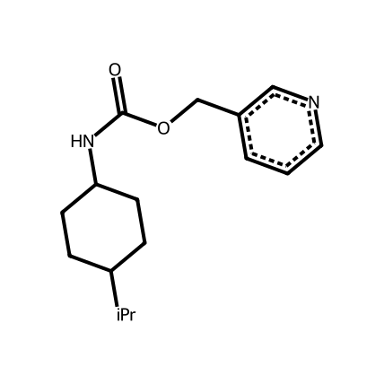 CC(C)C1CCC(NC(=O)OCc2cccnc2)CC1